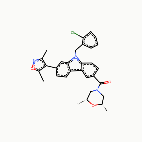 Cc1noc(C)c1-c1ccc2c3cc(C(=O)N4C[C@@H](C)O[C@@H](C)C4)ccc3n(Cc3ccccc3Cl)c2c1